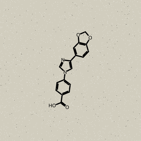 O=C(O)c1ccc(-n2cnc(-c3ccc4c(c3)OCO4)c2)cc1